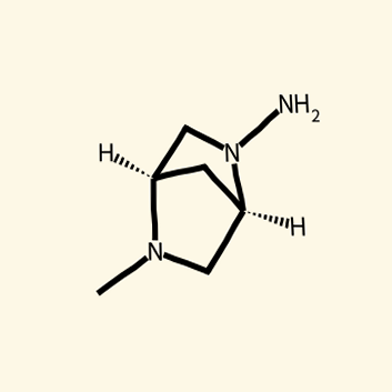 CN1C[C@H]2C[C@@H]1CN2N